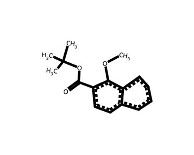 COc1c(C(=O)OC(C)(C)C)ccc2ccccc12